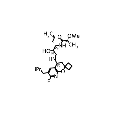 C=CC[C@H](NC(=O)[C@@H](C)OC)[C@H](O)CN[C@H]1CC2(CCC2)Oc2nc(F)c(CC(C)C)cc21